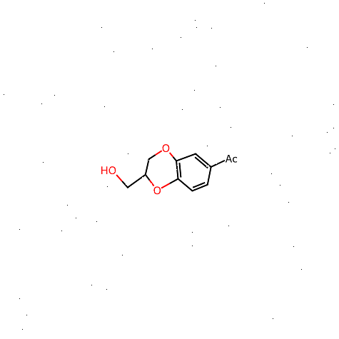 CC(=O)c1ccc2c(c1)OCC(CO)O2